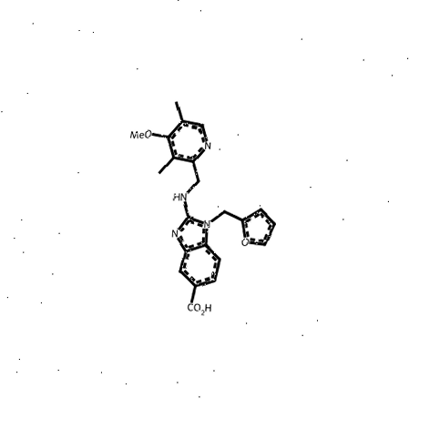 COc1c(C)cnc(CNc2nc3cc(C(=O)O)ccc3n2Cc2ccco2)c1C